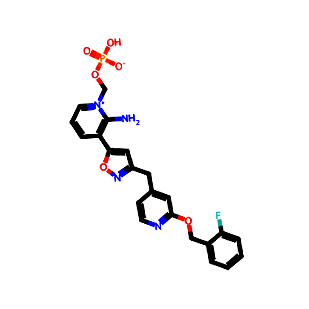 Nc1c(-c2cc(Cc3ccnc(OCc4ccccc4F)c3)no2)ccc[n+]1COP(=O)([O-])O